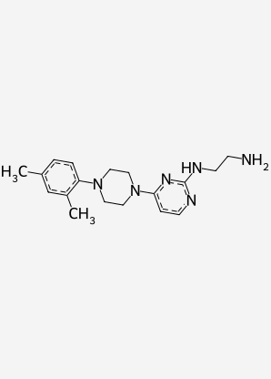 Cc1ccc(N2CCN(c3ccnc(NCCN)n3)CC2)c(C)c1